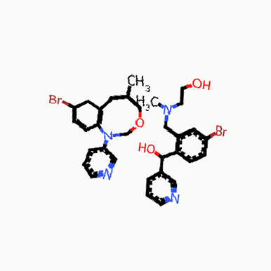 CC1COCN(c2cccnc2)C2=C(CC(Br)C=C2)C1.CN(CCO)Cc1cc(Br)ccc1C(O)c1cccnc1